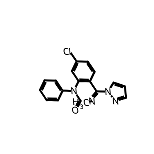 C/N=C(\c1ccc(Cl)cc1N(C=O)c1ccccc1)n1cccn1